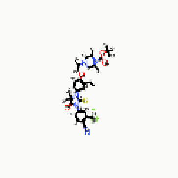 CCc1cc(N2C(=S)N(c3ccc(C#N)c(C(F)(F)F)c3)C(=O)C2(C)C)ccc1OC[C@@H](C)N1CC(C)N(C(=O)OC(C)(C)C)C(C)C1